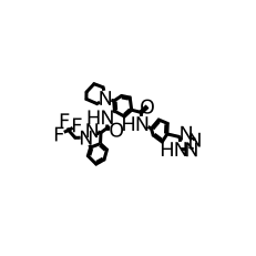 O=C(Nc1ccc(-c2nnn[nH]2)cc1)c1ccc(N2CCCCC2)c(NC(=O)c2nn(CC(F)(F)F)c3ccccc23)c1